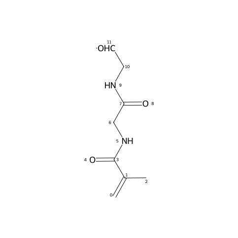 C=C(C)C(=O)NCC(=O)NC[C]=O